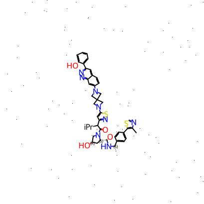 Cc1ncsc1-c1ccc([C@H](C)NC(=O)[C@@H]2C[C@@H](O)CN2C(=O)C(c2cc(N3CC4(CN(c5ccc6cc(-c7ccccc7O)nnc6c5)C4)C3)sn2)C(C)C)cc1